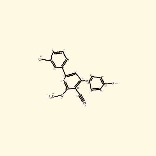 COc1nc(-c2cccc(Cl)c2)cc(-c2ccc(F)cc2)c1C#N